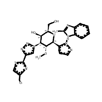 CO[C@@H]1[C@@H](n2cc(-c3nc(Cl)cs3)nn2)[C@@H](O)[C@@H](CO)O[C@H]1c1ccnn1[SH]1C(C)=Nc2ccccc21